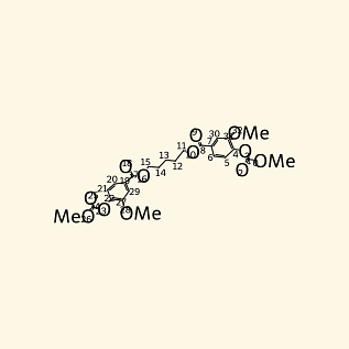 COC(=O)Oc1ccc(C(=O)OCCCCCOC(=O)c2ccc(OC(=O)OC)c(OC)c2)cc1OC